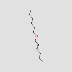 [CH2]CCCCCOC/C=C/CCC